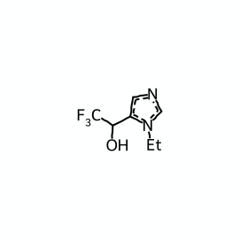 CCn1cncc1C(O)C(F)(F)F